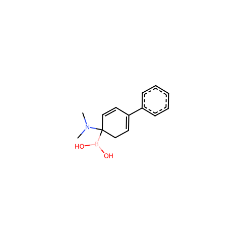 CN(C)C1(B(O)O)C=CC(c2ccccc2)=CC1